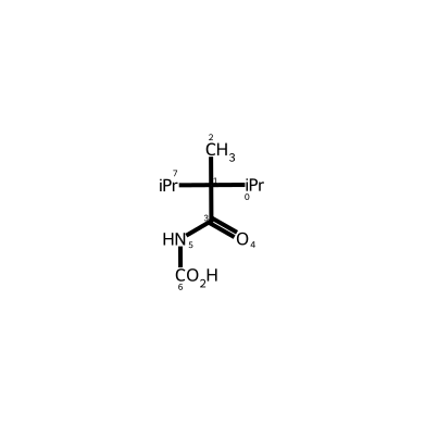 CC(C)C(C)(C(=O)NC(=O)O)C(C)C